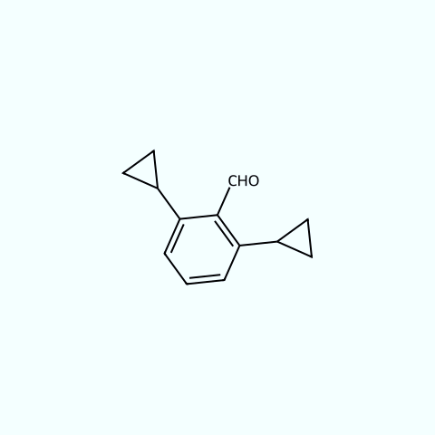 O=Cc1c(C2CC2)cccc1C1CC1